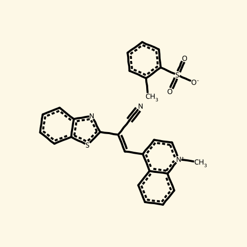 C[n+]1ccc(/C=C(\C#N)c2nc3ccccc3s2)c2ccccc21.Cc1ccccc1S(=O)(=O)[O-]